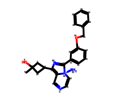 CC1(O)CC(C2=C3C=NC=C[N+]3(N)C(c3cccc(OCc4ccccc4)c3)=N2)C1